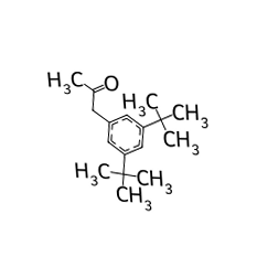 CC(=O)Cc1cc(C(C)(C)C)cc(C(C)(C)C)c1